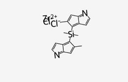 CC1=CC2=NC=CC2=C1[Si](C)(C)C1=C2C=CN=C2C=C1C.[Cl-].[Cl-].[Zr+2]